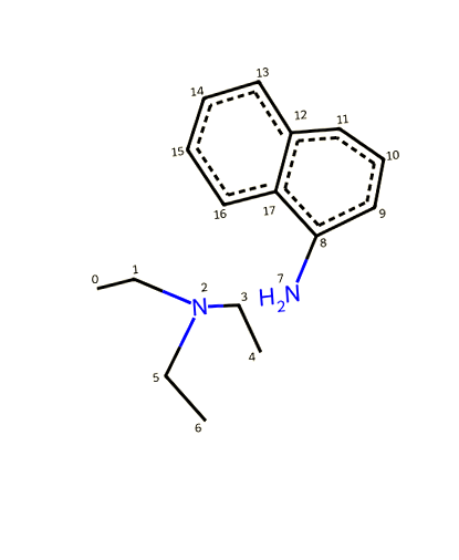 CCN(CC)CC.Nc1cccc2ccccc12